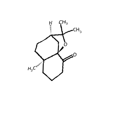 CC1(C)O[C@]23C[C@H]1CC[C@]2(C)CCCC3=O